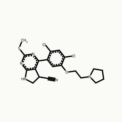 CSc1nc2c(c(-c3cc(OCCN4CCCC4)c(Cl)cc3Cl)n1)C(C#N)CN2